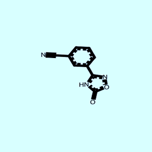 N#Cc1cccc(-c2noc(=O)[nH]2)c1